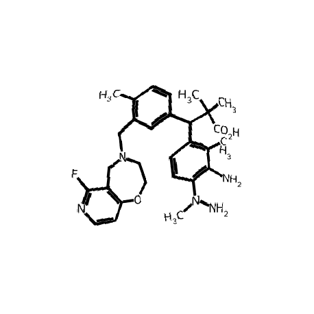 Cc1ccc(C(c2ccc(N(C)N)c(N)c2C)C(C)(C)C(=O)O)cc1CN1CCOc2ccnc(F)c2C1